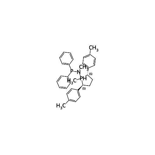 Cc1ccc([C@@H]2CC[C@@H](c3ccc(C)cc3)[PH]2(C)N(C)P(c2ccccc2)c2ccccc2)cc1